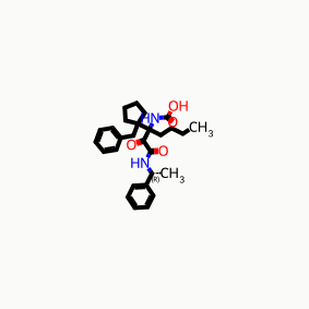 CCCCC(NC(=O)O)(C(=O)C(=O)N[C@H](C)c1ccccc1)C1(Cc2ccccc2)CCCC1